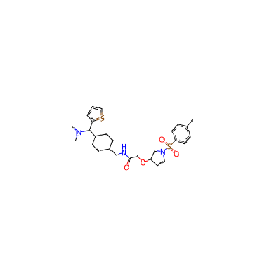 Cc1ccc(S(=O)(=O)N2CCC(OCC(=O)NCC3CCC(C(c4cccs4)N(C)C)CC3)C2)cc1